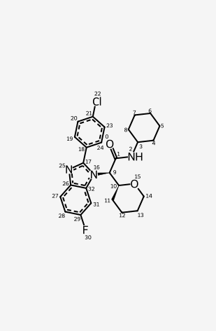 O=C(NC1CCCCC1)[C@@H]([C@@H]1CCCCO1)n1c(-c2ccc(Cl)cc2)nc2ccc(F)cc21